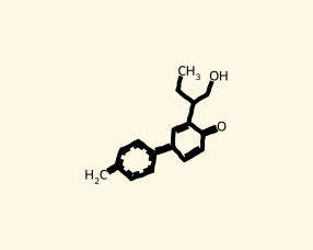 C=c1ccc(=C2C=CC(=O)C(C(CC)CO)=C2)cc1